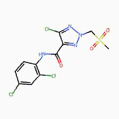 CS(=O)(=O)Cn1nc(Cl)c(C(=O)Nc2ccc(Cl)cc2Cl)n1